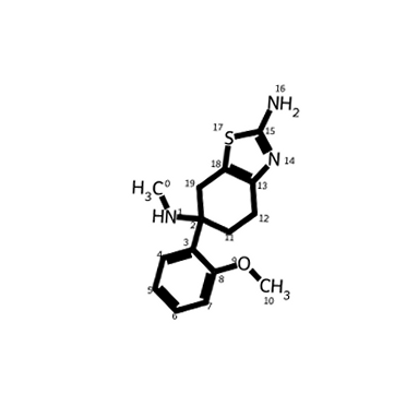 CNC1(c2ccccc2OC)CCc2nc(N)sc2C1